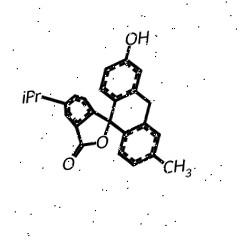 Cc1ccc2c(c1)Cc1cc(O)ccc1C21OC(=O)c2cc(C(C)C)ccc21